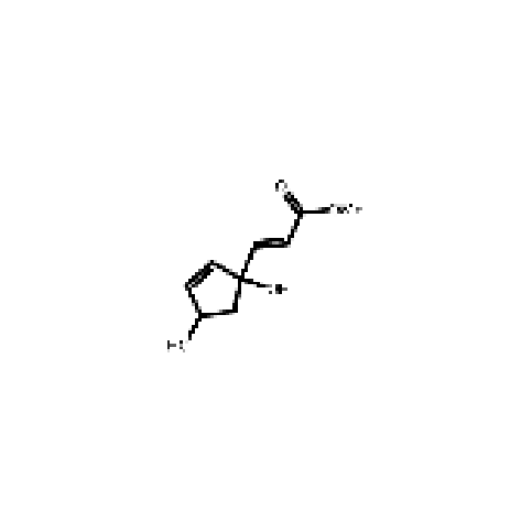 COC(=O)/C=C/C1(O)C=CC(O)C1